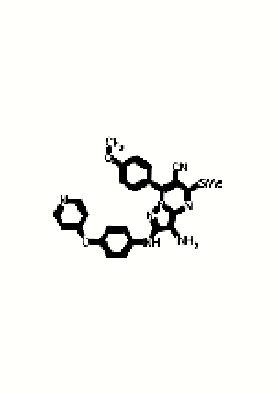 CSc1nc2c(N)c(Nc3ccc(Oc4ccncc4)cc3)nn2c(-c2ccc(OC(F)(F)F)cc2)c1C#N